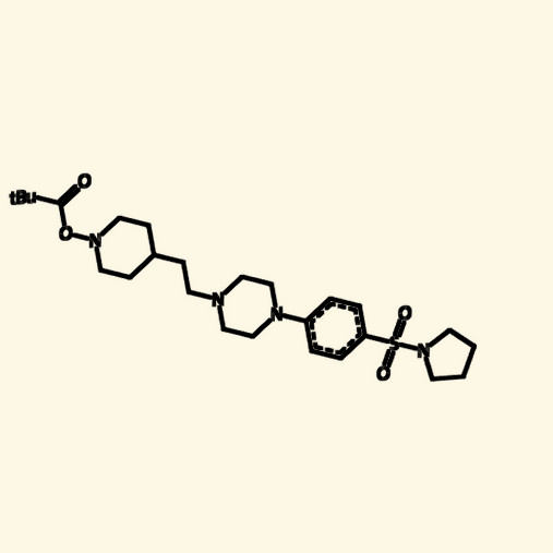 CC(C)(C)C(=O)ON1CCC(CCN2CCN(c3ccc(S(=O)(=O)N4CCCC4)cc3)CC2)CC1